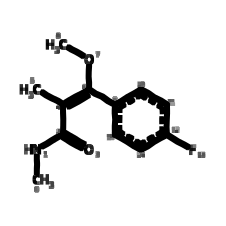 CNC(=O)/C(C)=C(/OC)c1ccc(F)cc1